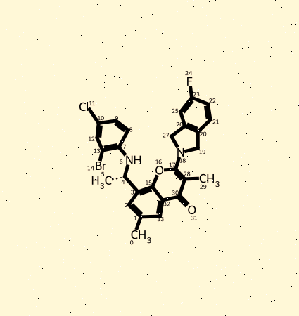 Cc1cc([C@H](C)Nc2ccc(Cl)cc2Br)c2oc(N3Cc4ccc(F)cc4C3)c(C)c(=O)c2c1